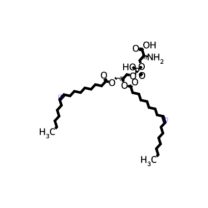 CCCCCC/C=C\CCCCCCCC(=O)OC[C@H](COP(=O)(O)OC[C@H](N)C(=O)O)OC(=O)CCCCCCC/C=C\CCCCCCC